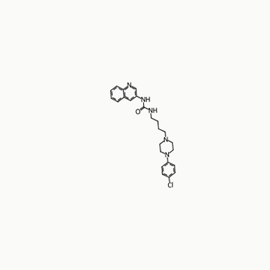 O=C(NCCCCN1CCN(c2ccc(Cl)cc2)CC1)Nc1cnc2ccccc2c1